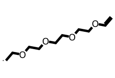 [CH2]COCCOCCOCCOC=C